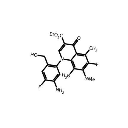 Bc1c(NC)c(F)c(C)c2c(=O)c(C(=O)OCC)cn(-c3cc(N)c(F)cc3CO)c12